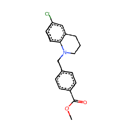 COC(=O)c1ccc(CN2CCCc3cc(Cl)ccc32)cc1